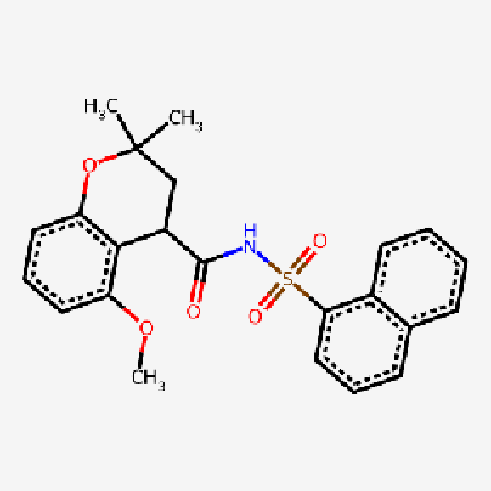 COc1cccc2c1C(C(=O)NS(=O)(=O)c1cccc3ccccc13)CC(C)(C)O2